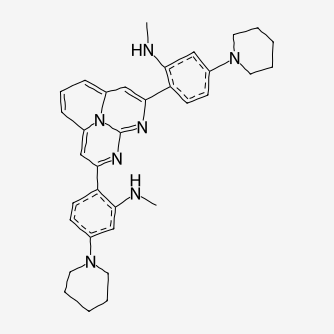 CNc1cc(N2CCCCC2)ccc1C1=CC2=CC=CC3=CC(c4ccc(N5CCCCC5)cc4NC)=NC(=N1)N23